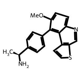 COc1ccc2ncc3sccc3c2c1-c1ccc([C@H](C)N)cc1